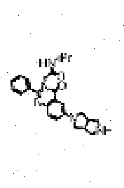 CC(C)NC(=O)Cn1c(-c2ccccc2)nc2ccc(N3CC4CNCC4C3)cc2c1=O